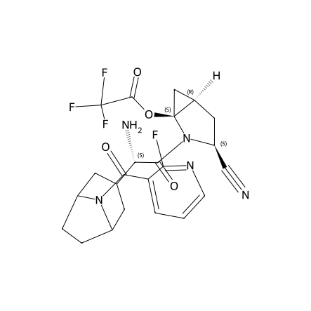 N#C[C@@H]1C[C@@H]2C[C@@]2(OC(=O)C(F)(F)F)N1C(=O)[C@@H](N)C1CC2CCC(C1)N2C(=O)c1cccnc1F